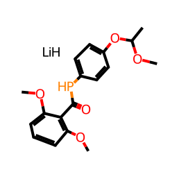 COc1cccc(OC)c1C(=O)Pc1ccc(OC(C)OC)cc1.[LiH]